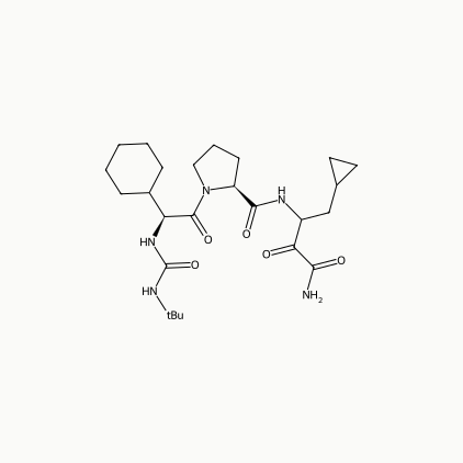 CC(C)(C)NC(=O)N[C@H](C(=O)N1CCC[C@H]1C(=O)NC(CC1CC1)C(=O)C(N)=O)C1CCCCC1